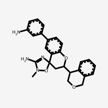 CN1OC2(CC(C3COCc4ccccc43)Oc3ccc(-c4cccc(N)c4)cc32)N=C1N